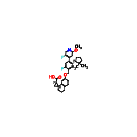 COc1cc(-c2cc(F)c(COc3ccc4c(c3)[C@]3(CCC4)C[C@H]3C(=O)O)cc2[C@@H]2CCCC2(C)C)c(F)cn1